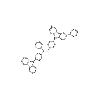 c1ccc(-c2ccc3c(c2)c2cnccc2n3-c2ccc(CC3c4ccccc4-c4cc(-n5c6ccccc6c6ccccc65)ccc43)cc2)cc1